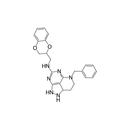 c1ccc(CN2CCC3NNc4nc(NCC5COc6ccccc6O5)nc2c43)cc1